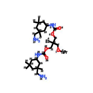 CCCOCC(CC)(COC(=O)NC1CC(C)(C)CC(C)(CN)C1)COC(=O)NC1CC(C)(C)CC(C)(CN)C1